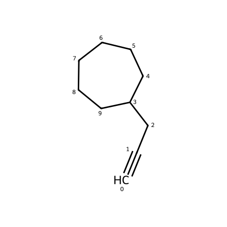 C#CCC1CCCCCC1